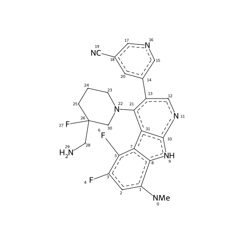 CNc1cc(F)c(F)c2c1[nH]c1ncc(-c3cncc(C#N)c3)c(N3CCCC(F)(CN)C3)c12